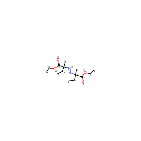 CCOC(=O)C(C)(CC)N=NC(C)(CC)C(=O)OCC